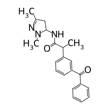 CC1=NN(C)C(NC(=O)C(C)c2cccc(C(=O)c3ccccc3)c2)C1